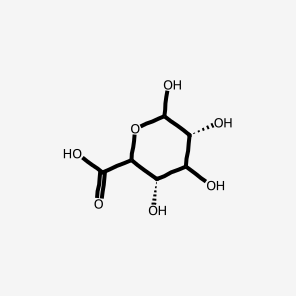 O=C(O)C1OC(O)[C@H](O)C(O)[C@@H]1O